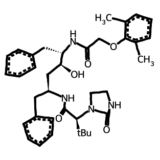 Cc1cccc(C)c1OCC(=O)N[C@@H](Cc1ccccc1)[C@@H](O)C[C@H](Cc1ccccc1)NC(=O)[C@@H](N1CCNC1=O)C(C)(C)C